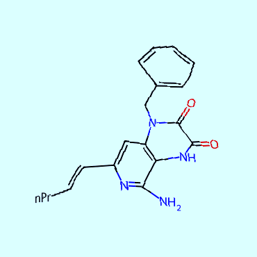 CCC/C=C/c1cc2c([nH]c(=O)c(=O)n2Cc2ccccc2)c(N)n1